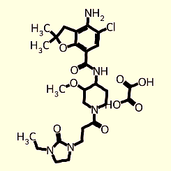 CCN1CCN(CCC(=O)N2CCC(NC(=O)c3cc(Cl)c(N)c4c3OC(C)(C)C4)C(OC)C2)C1=O.O=C(O)C(=O)O